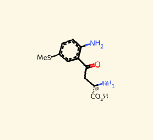 CSc1ccc(N)c(C(=O)C[C@H](N)C(=O)O)c1